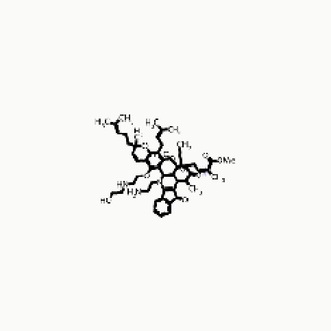 COC(=O)/C(C)=C\CC12OC(C)C(C)C13Oc1c(CC=C(C)C)c4c(c(OCCNCCO)c1C1=C3C(C3=C(c5ccccc5C3=O)N1CCN)C(C)C2=O)C=CC(C)(CCC=C(C)C)O4